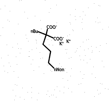 CCCCCCCCCCCCC(CCCC)(C(=O)[O-])C(=O)[O-].[K+].[K+]